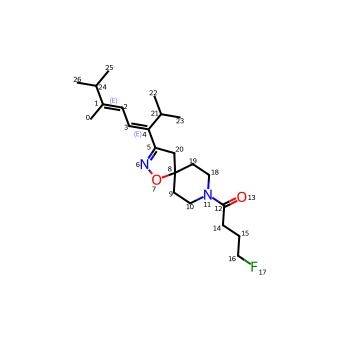 C/C(=C\C=C(\C1=NOC2(CCN(C(=O)CCCF)CC2)C1)C(C)C)C(C)C